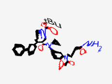 CC(C)(C)OC(=O)N1CCC(c2cccc(-c3ccccc3)c2)[C@@H](C(=O)N(c2ccc3c(c2)N(CCCC(N)=O)C(=O)CO3)C2CC2)C1